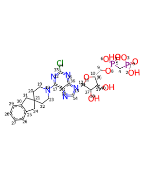 O=P(O)(O)CP(=O)(O)OC[C@H]1O[C@@H](n2cnc3c(N4CCC5(CC4)Cc4ccccc4C5)nc(Cl)nc32)C(O)[C@H]1O